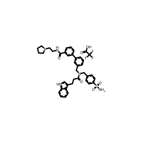 NS(=O)(=O)c1ccc(CN(Cc2cccc(-c3cccc(C(=O)NCCN4CCCC4)c3)c2)C(=O)CCc2c[nH]c3ccccc23)cc1.O=C(O)C(F)(F)F